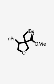 CCCC1COCC1(CC(C)CC)C(=O)OC